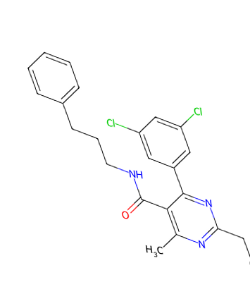 CCc1nc(C)c(C(=O)NCCCc2ccccc2)c(-c2cc(Cl)cc(Cl)c2)n1